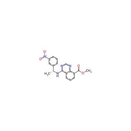 COC(=O)c1cccc2c(N[C@H](C)c3cccc([N+](=O)[O-])c3)ncnc12